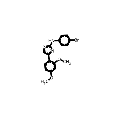 COc1ccc(-c2csc(Nc3ccc(Br)cc3)n2)c(OC)c1